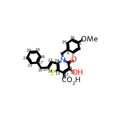 COc1ccc(Cn2c(=O)c(O)c(C(=O)O)c3sc(Cc4ccccc4)cc32)cc1